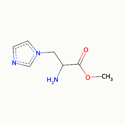 COC(=O)C(N)Cn1ccnc1